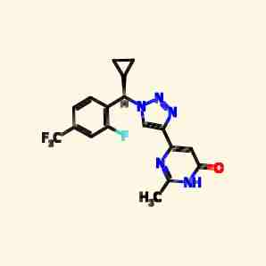 Cc1nc(-c2cn([C@@H](c3ccc(C(F)(F)F)cc3F)C3CC3)nn2)cc(=O)[nH]1